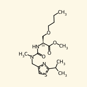 CCCCOC[C@H](NC(=O)N(C)Cc1csc(C(C)C)n1)C(=O)OC